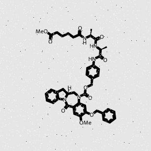 COC(=O)CCCCC(=O)N[C@@H](C)C(=O)N[C@@H](C)C(=O)Nc1ccc(COC(=O)N2C[C@@H]3Cc4ccccc4N3C(=O)c3cc(OC)c(OCc4ccccc4)cc32)cc1